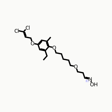 CCc1cc(OCC=C(Cl)Cl)cc(C)c1OCCCCCOCC/C=N/O